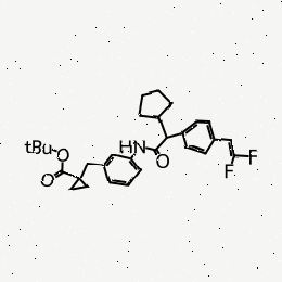 CC(C)(C)OC(=O)C1(Cc2cccc(NC(=O)C(c3ccc(C=C(F)F)cc3)C3CCCC3)c2)CC1